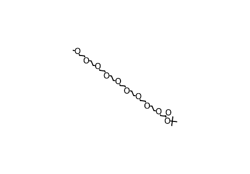 COCCOCCOCCOCCOCCOCCOCCOCCOCC(=O)OC(C)(C)C